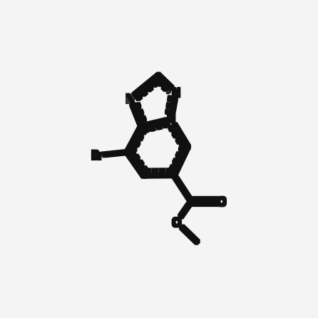 COC(=O)c1cc(Br)c2ncnn2c1